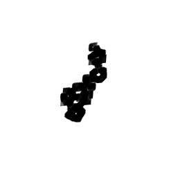 COc1ncnc(O)c1-n1c(NS(=O)(=O)[C@H]2CCCN(c3ncc(Cl)cn3)C2)nnc1C1=C=C=CC=C1